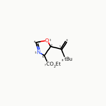 C=C(C1OC=NC1C(=O)OCC)C(C)(C)C